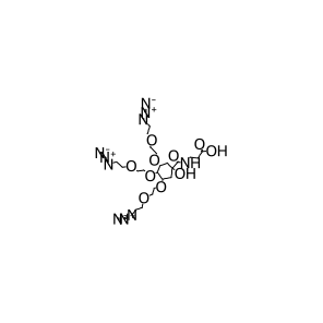 [N-]=[N+]=NCCOCCOC1CC(O)(C(=O)NCCC(=O)O)CC(OCCOCCN=[N+]=[N-])C1OCCOCCN=[N+]=[N-]